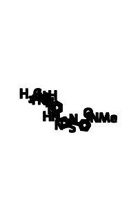 CNC(=O)c1cccc(-c2nc3cc(Nc4cccc(N5C[C@@H]6C[C@H]5CN6C)n4)ncc3s2)c1